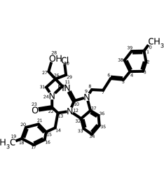 Cc1ccc(/C=C/CCn2c(=N)n(C(Cc3ccc(C)cc3)C(=O)N3CC(CO)(CCl)C3)c3ccccc32)cc1